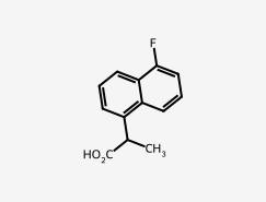 CC(C(=O)O)c1cccc2c(F)cccc12